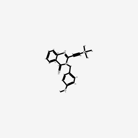 COc1ccc(Cn2c(C#C[Si](C)(C)C)nc3ccccc3c2=O)cc1